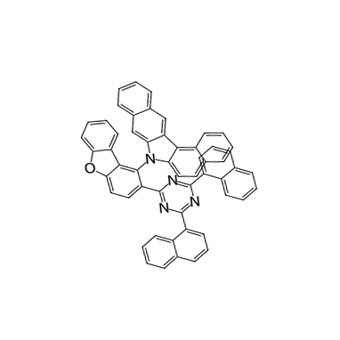 c1ccc2cc3c(cc2c1)c1c2ccccc2ccc1n3-c1c(-c2nc(-c3cccc4ccccc34)nc(-c3cccc4ccccc34)n2)ccc2oc3ccccc3c12